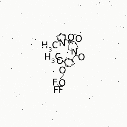 COc1cc(C(=O)N2CC[C@]3(c4cccc(C)n4)OCOC3C2)ccc1OCCOC(F)(F)F